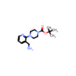 CC(C)(C)OC(=O)N1CCN(c2ncccc2CN)CC1